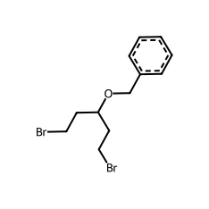 BrCCC(CCBr)OCc1ccccc1